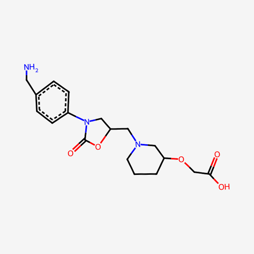 NCc1ccc(N2CC(CN3CCCC(OCC(=O)O)C3)OC2=O)cc1